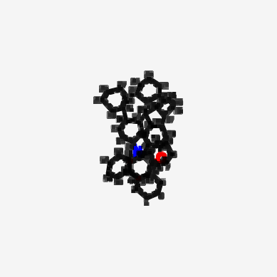 c1ccc2c(c1)-c1ccccc1N(c1ccc3c(c1)C1(c4ccccc4-c4ccccc4-3)c3ccccc3-c3cc4oc5ccccc5c4cc31)c1ccccc1-2